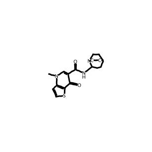 Cn1cc(C(=O)NC2CCC3CCN2CC3)c(=O)c2sccc21